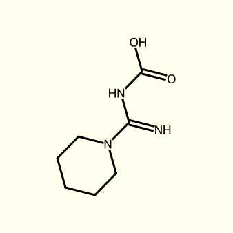 N=C(NC(=O)O)N1CCCCC1